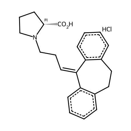 Cl.O=C(O)[C@H]1CCCN1CCC=C1c2ccccc2CCc2ccccc21